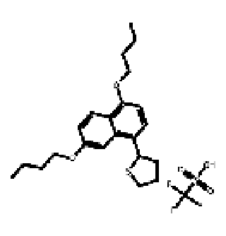 CCCCOc1ccc2c(OCCCC)ccc(C3CCCS3)c2c1.O=S(=O)(O)C(F)(F)F